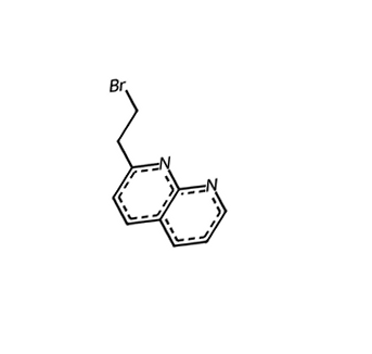 BrCCc1ccc2cccnc2n1